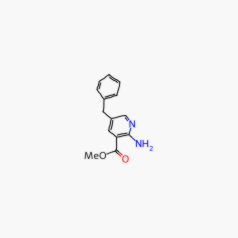 COC(=O)c1cc(Cc2ccccc2)cnc1N